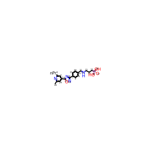 CCCc1cc(-c2nc(-c3ccc(CNCCCP(=O)(O)O)cc3)no2)cc(C)n1